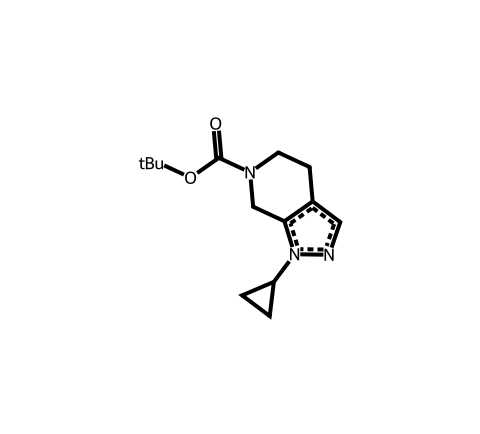 CC(C)(C)OC(=O)N1CCc2cnn(C3CC3)c2C1